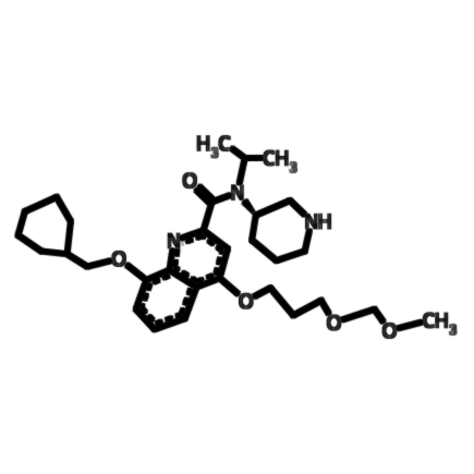 COCOCCCOc1cc(C(=O)N(C(C)C)[C@@H]2CCCNC2)nc2c(OCC3CCCCC3)cccc12